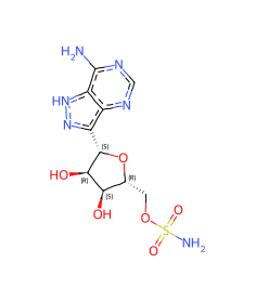 Nc1ncnc2c([C@@H]3O[C@H](COS(N)(=O)=O)[C@@H](O)[C@H]3O)n[nH]c12